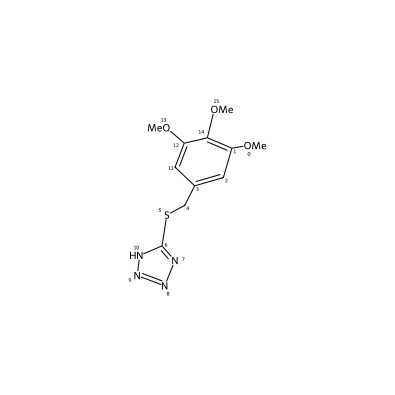 COc1cc(CSc2nnn[nH]2)cc(OC)c1OC